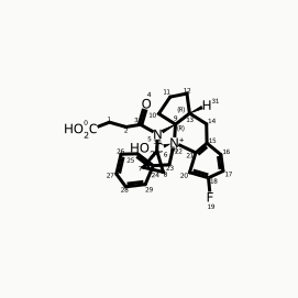 O=C(O)CCC(=O)N(C1CC1)[C@@]12CCC[C@@H]1Cc1ccc(F)cc1[N@@+]2(Cc1ccccc1)C(=O)O